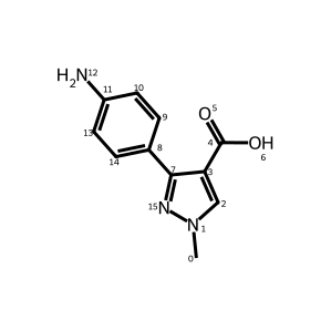 Cn1cc(C(=O)O)c(-c2ccc(N)cc2)n1